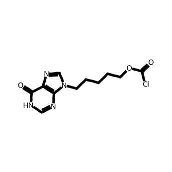 O=C(Cl)OCCCCCn1cnc2c(=O)[nH]cnc21